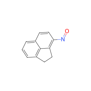 O=Nc1ccc2cccc3c2c1CC3